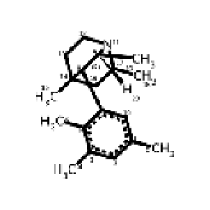 Cc1cc(C)c(C)c(C2[C@@H](C)N3CCC2(C)CC3C)c1